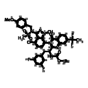 COc1ccc(CN(c2nn(C)c3c(-n4c([C@H](Cc5cc(F)cc(F)c5)NC(=O)OC(C)(C)C)nc5cc(C(C)(F)F)ccc5c4=O)ccc(Cl)c23)S(C)(=O)=O)cc1